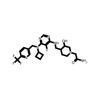 NC(=O)CN1CCC(CNc2ncnc(N(Cc3ccc(C(F)(F)F)nc3)C3CCC3)c2F)C(O)C1